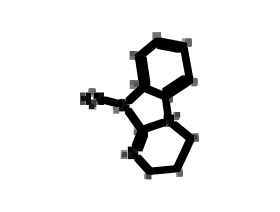 NN1C2=NCCCN2c2ccccc21